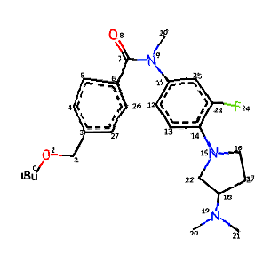 CCC(C)OCc1ccc(C(=O)N(C)c2ccc(N3CCC(N(C)C)C3)c(F)c2)cc1